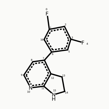 Fc1cc(F)cc(-c2ccnc3c2CCN3)c1